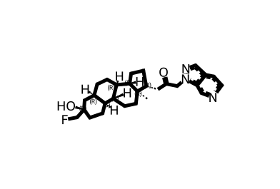 C[C@]12CC[C@H]3[C@@H](CC[C@@H]4C[C@@](O)(CF)CC[C@@H]43)[C@@H]1CC[C@@H]2CC(=O)Cn1ncc2ccncc21